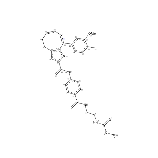 C=C(NCCNC(=O)OC(C)(C)C)c1ccc(NC(=C)c2cc3n(n2)/C(c2ccc(C)c(OC)c2)=C\C=C/CC3)cc1